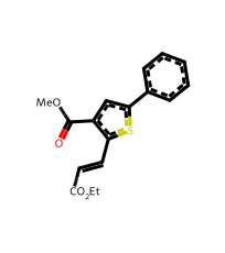 CCOC(=O)C=Cc1sc(-c2ccccc2)cc1C(=O)OC